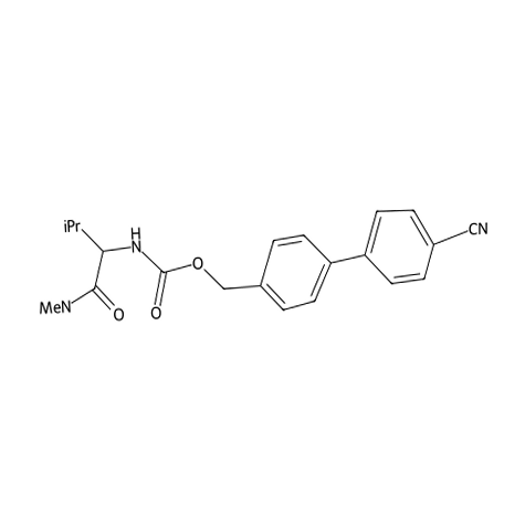 CNC(=O)C(NC(=O)OCc1ccc(-c2ccc(C#N)cc2)cc1)C(C)C